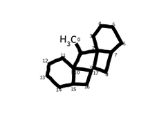 CC(C12CCCCC1CC2)C12CCCCC1CC2